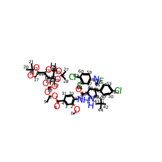 COc1cc(C(=O)OC(C)OC(=O)O[C@H]2[C@H]([C@H]3COC(C)(C)O3)O[C@@H]3OC(C)(C)O[C@@H]32)ccc1NC(=O)[C@@H]1N[C@@H](CC(C)(C)C)[C@](C#N)(c2ccc(Cl)cc2F)[C@H]1c1cccc(Cl)c1F